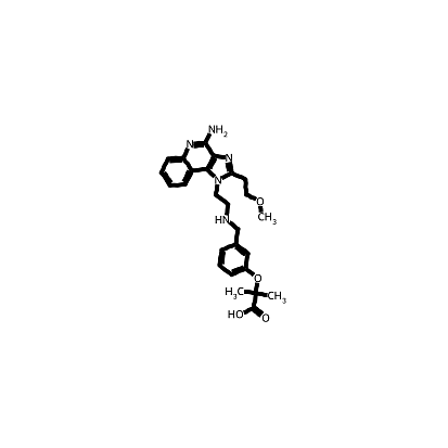 COCCc1nc2c(N)nc3ccccc3c2n1CCNCc1cccc(OC(C)(C)C(=O)O)c1